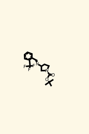 CC(C)(C)OC(=O)N1CCC(N=Cc2ccccc2C(F)(F)F)C1